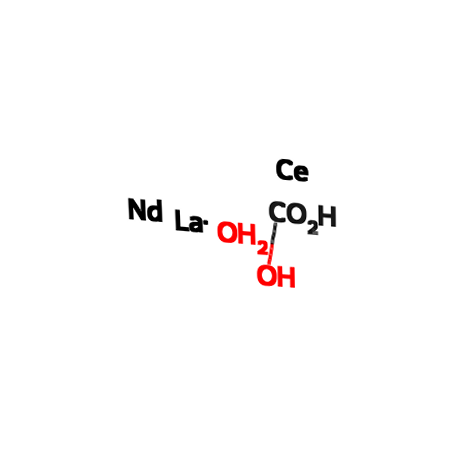 O.O=C(O)O.[Ce].[La].[Nd]